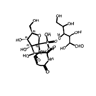 O=CC(O)C(O)C(O)C(O)CO.O=c1ccn([C@]2(P(=O)(O)O)O[C@H](CO)[C@@H](O)[C@]2(O)P(=O)(O)O)c(=O)[nH]1